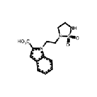 O=C(O)c1cc2ccccc2n1CCN1CCNS1(=O)=O